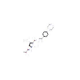 CNc1c(C(=O)NCCc2ccc(N3CCNCC3)cc2)[nH]c2nc(C(C)=O)oc12